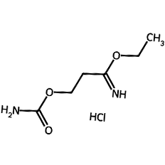 CCOC(=N)CCOC(N)=O.Cl